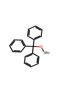 CC(C)(C)OC(c1ccccc1)(c1ccccc1)c1ccccc1